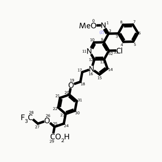 CO/N=C(/c1ccccc1)c1cnc2c(ccn2CCOc2ccc(CC(OCC(F)(F)F)C(=O)O)cc2)c1Cl